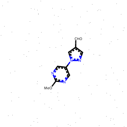 COc1ncc(-n2cc(C=O)cn2)cn1